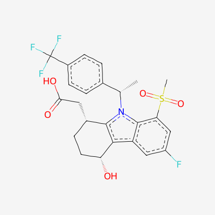 C[C@@H](c1ccc(C(F)(F)F)cc1)n1c2c(c3cc(F)cc(S(C)(=O)=O)c31)[C@H](O)CC[C@@H]2CC(=O)O